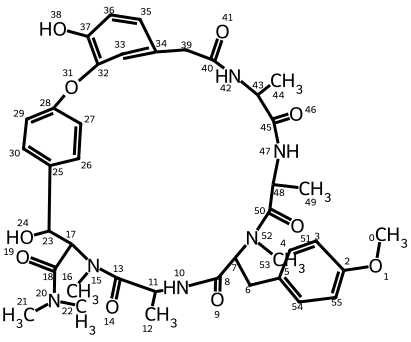 COc1ccc(CC2C(=O)NC(C)C(=O)N(C)C(C(=O)N(C)C)C(O)c3ccc(cc3)Oc3cc(ccc3O)CC(=O)NC(C)C(=O)NC(C)C(=O)N2C)cc1